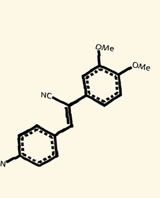 COc1ccc(C(C#N)=Cc2ccc(N)cc2)cc1OC